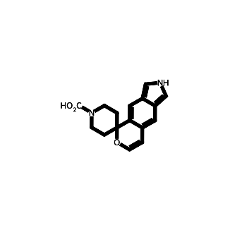 O=C(O)N1CCC2(CC1)OC=Cc1cc3c[nH]cc3cc12